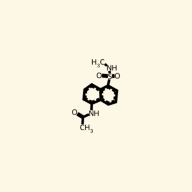 CNS(=O)(=O)c1cccc2c(NC(C)=O)cccc12